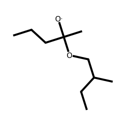 CCCC(C)([O])OCC(C)CC